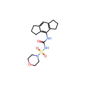 O=C(Nc1c2c(cc3c1CCC3)CCC2)NS(=O)(=O)N1CCOCC1